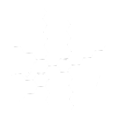 CCCCCCCCC(C(=C=[N+]=[N-])CCCC)=C(c1cc(CCC)c(CCC)c(CCC)c1)c1cc(CCCCCC)c(CCCCCC)c(CCCCCC)c1.[Cl][Pd][Cl]